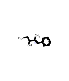 CCC(O)/C(C)=C/c1ccccc1